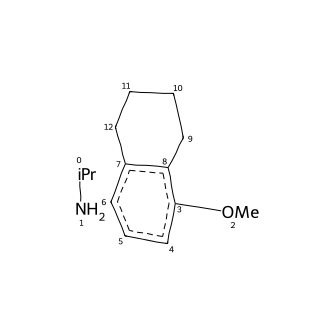 CC(C)N.COc1cccc2c1CCCC2